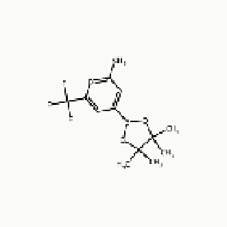 Cc1cc(B2OC(C)(C)C(C)(C)O2)cc(C(F)(F)F)n1